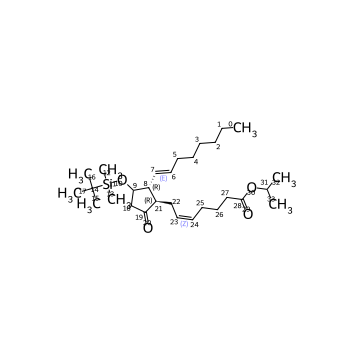 CCCCCC/C=C/[C@H]1C(O[Si](C)(C)C(C)(C)C)CC(=O)[C@@H]1C/C=C\CCCC(=O)OC(C)C